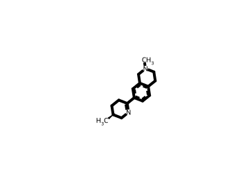 C[C@H]1CCC(c2ccc3c(c2)CN(C)CC3)=NC1